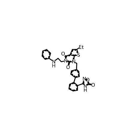 CCc1cc2c(=O)n(CCNc3ccccc3)c(=O)n(Cc3ccc(-c4ccccc4-c4noc(=O)[nH]4)cc3)c2s1